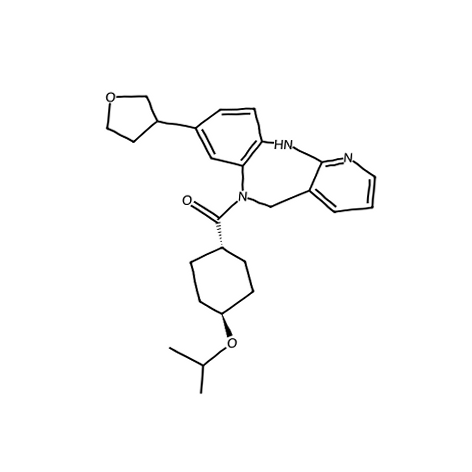 CC(C)O[C@H]1CC[C@H](C(=O)N2Cc3cccnc3Nc3ccc(C4CCOC4)cc32)CC1